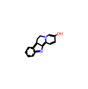 OC1=CN2CCC3=c4ccccc4=NC3=C2C=C1